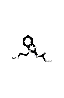 CCCC(C)C(=O)/N=c1\sc2ccccc2n1CCOC